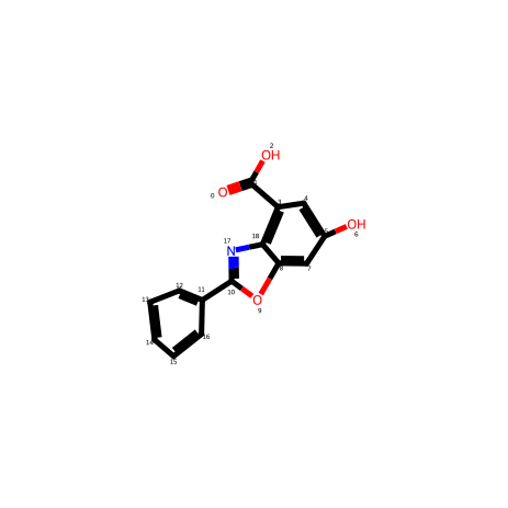 O=C(O)c1cc(O)cc2oc(-c3ccccc3)nc12